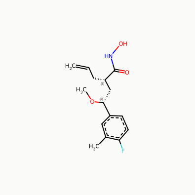 C=CC[C@@H](C[C@@H](OC)c1ccc(F)c(C)c1)C(=O)NO